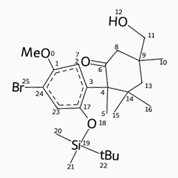 COc1cc(C2(C)C(=O)CC(C)(CO)CC2(C)C)c(O[Si](C)(C)C(C)(C)C)cc1Br